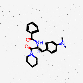 CN(C)c1ccc(/C=C(\NC(=O)c2ccccc2)C(=O)N2CCCCC2)cc1